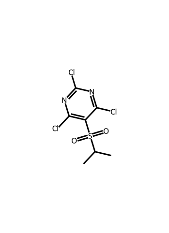 CC(C)S(=O)(=O)c1c(Cl)nc(Cl)nc1Cl